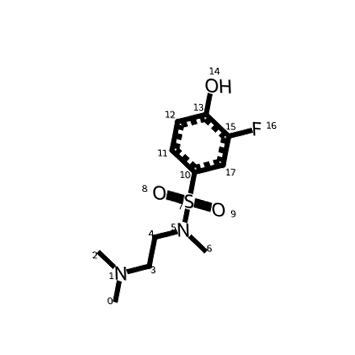 CN(C)CCN(C)S(=O)(=O)c1ccc(O)c(F)c1